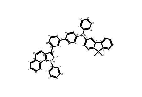 CC1(C)c2ccccc2-c2cc(N(c3ccccc3)c3ccc(-c4cccc(-c5nn(-c6ccccc6)c6c5ccc5ccccc56)c4)cc3)ccc21